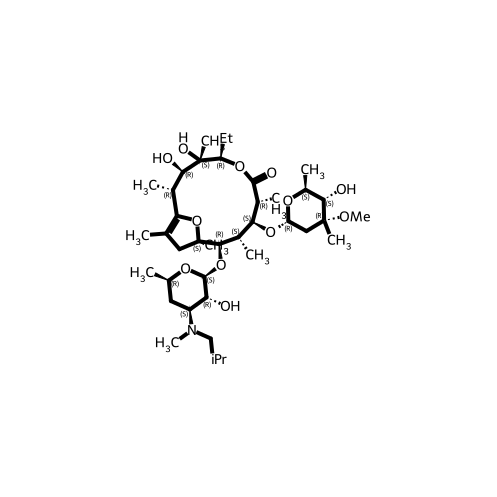 CC[C@H]1OC(=O)[C@H](C)[C@@H](O[C@H]2C[C@@](C)(OC)[C@@H](O)[C@H](C)O2)[C@H](C)[C@@H](O[C@@H]2O[C@H](C)C[C@H](N(C)CC(C)C)[C@H]2O)[C@]2(C)CC(C)=C(O2)[C@H](C)[C@@H](O)[C@]1(C)O